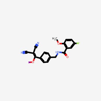 COc1ccc(F)cc1C(=O)NCc1ccc(C(OI)=C(C#N)C#N)cc1